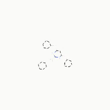 Cc1c(Oc2ccccc2)nc(NSc2ccccc2)nc1Oc1ccccc1